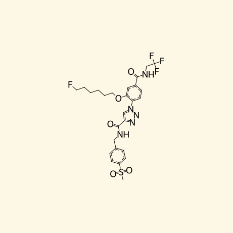 CS(=O)(=O)c1ccc(CNC(=O)c2cn(-c3ccc(C(=O)NCC(F)(F)F)cc3OCCCCCCF)nn2)cc1